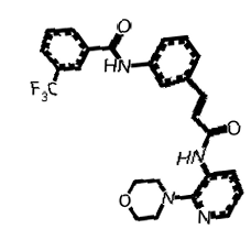 O=C(C=Cc1cccc(NC(=O)c2cccc(C(F)(F)F)c2)c1)Nc1cccnc1N1CCOCC1